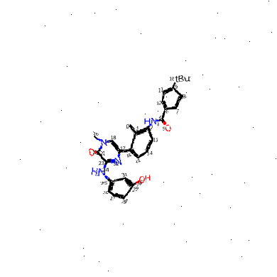 Cc1c(NC(=O)c2ccc(C(C)(C)C)cc2)cccc1-c1cn(C)c(=O)c(Nc2cccc(O)c2)n1